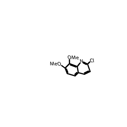 COc1ccc2ccc(Cl)nc2c1OC